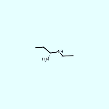 CCN[C@H](N)CC